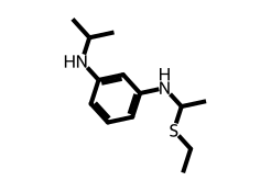 CCSC(C)Nc1cccc(NC(C)C)c1